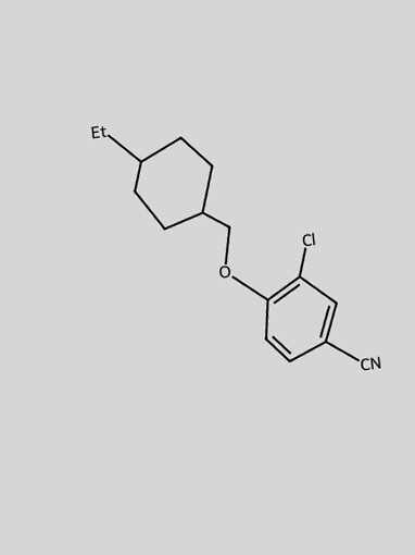 CCC1CCC(COc2ccc(C#N)cc2Cl)CC1